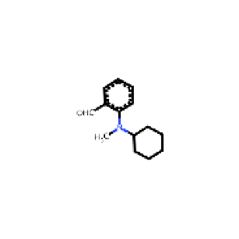 CN(c1ccccc1C=O)C1CCCCC1